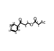 CC(=O)CC(=O)OCCC(=O)c1cccnc1